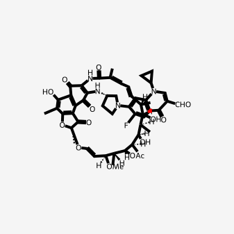 CO[C@H]1/C=C/O[C@@]2(C)Oc3c(C)c(O)c4c(c3C2=O)C(=O)C(N[C@H]2CCN(c3cc5c(cc3F)c(=O)c(C=O)cn5C3CC3)C2)=C(NC(=O)/C(C)=C\C=C\[C@H](C)[C@H](O)[C@@H](C)[C@@H](O)[C@@H](C)[C@H](OC(C)=O)[C@@H]1C)C4=O